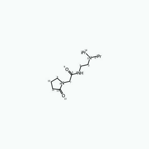 CC(C)N(CCNC(=O)CN1CCCC1=O)C(C)C